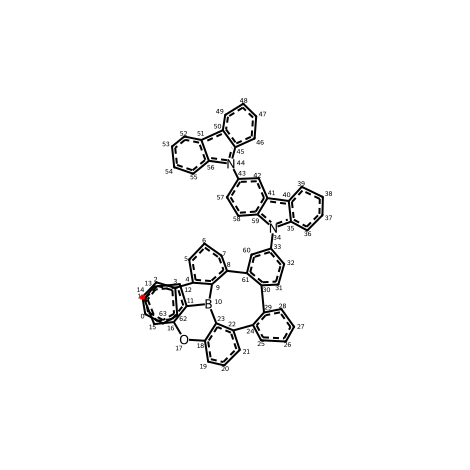 c1ccc(-c2cccc3c2B2c4ccccc4Oc4cccc(c42)-c2ccccc2-c2ccc(-n4c5ccccc5c5cc(-n6c7ccccc7c7ccccc76)ccc54)cc2-3)cc1